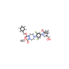 CC(C)(C)OC(=O)N1CCN(c2c(F)cc(N3C[C@H](CO)[C@@H]4CC4C3=O)cc2F)CCN1C(=O)OCc1ccccc1